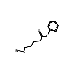 CCOCCCCC(=O)Oc1ccccc1